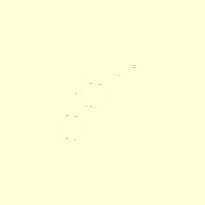 C=CCOC1CCC(C2CCCCC2)C(F)C1F